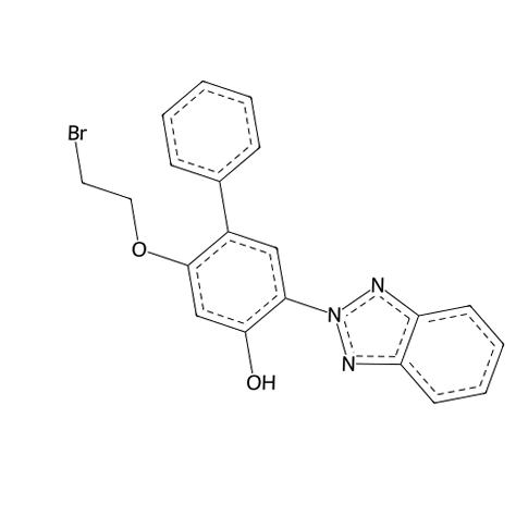 Oc1cc(OCCBr)c(-c2ccccc2)cc1-n1nc2ccccc2n1